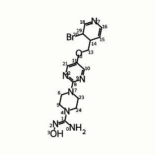 N/C(=N\O)N1CCN(c2ncc(OCC3C=CN=CC3Br)cn2)CC1